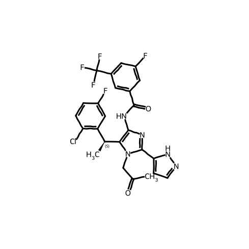 CC(=O)Cn1c(-c2ccn[nH]2)nc(NC(=O)c2cc(F)cc(C(F)(F)F)c2)c1[C@@H](C)c1cc(F)ccc1Cl